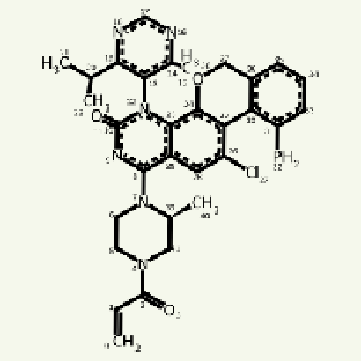 C=CC(=O)N1CCN(c2nc(=O)n(-c3c(C)ncnc3C(C)C)c3c4c(c(Cl)cc23)-c2c(P)cccc2CO4)[C@@H](C)C1